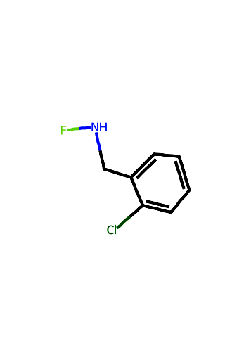 FNCc1ccccc1Cl